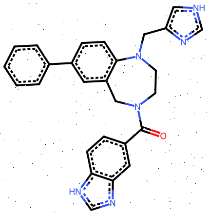 O=C(c1ccc2[nH]cnc2c1)N1CCN(Cc2c[nH]cn2)c2ccc(-c3ccccc3)cc2C1